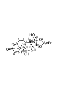 CCCC1OC2C[C@H]3C4CCC5=CC(=O)C=CC5(C)[C@H]4C(O)CC3(C)C2(C(=O)CO)O1